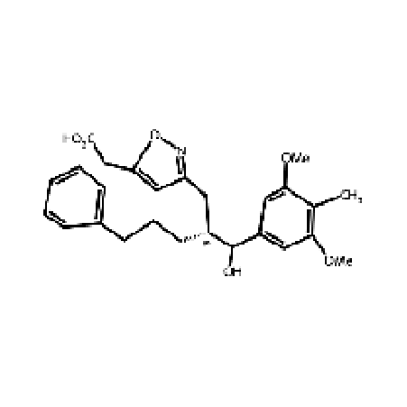 COc1cc(C(O)[C@H](CCCc2ccccc2)Cc2cc(CC(=O)O)on2)cc(OC)c1C